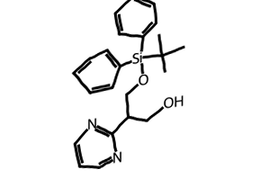 CC(C)(C)[Si](OCC(CO)c1ncccn1)(c1ccccc1)c1ccccc1